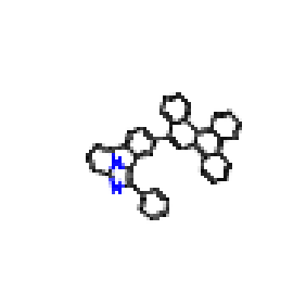 c1ccc(-c2nc3cccc4c5ccc(-c6cc7c8ccccc8c8ccccc8c7c7ccccc67)cc5c2n34)cc1